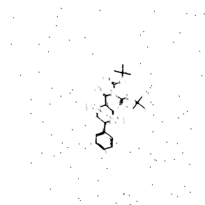 CC(C)(C)OC(=O)N(C(=O)OC(C)(C)C)C(=O)C1CNC(c2ccccc2)CN1